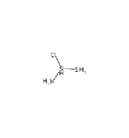 [SiH3][SiH]([SiH3])Cl